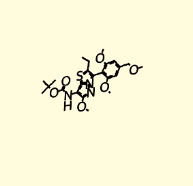 CCc1sc2c(NC(=O)OC(C)(C)C)c(OC)nn2c1-c1c(OC)cc(COC)cc1OC